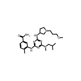 COCCCN1CCC(Nc2nc(Nc3cc(C(N)=O)ccc3C)nc(N(C)CC(C)C)n2)C1